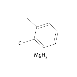 Cc1ccccc1Cl.[MgH2]